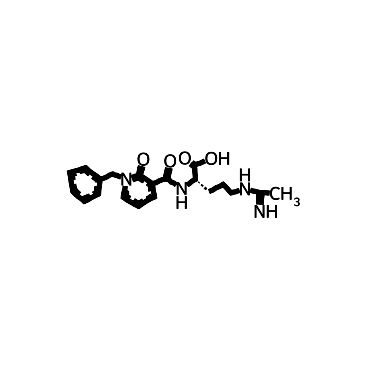 CC(=N)NCCC[C@H](NC(=O)c1cccn(Cc2ccccc2)c1=O)C(=O)O